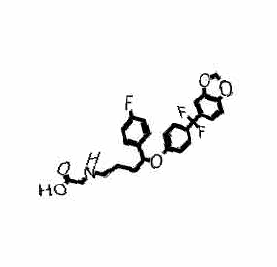 O=C(O)CNCCCC(Oc1ccc(C(F)(F)c2ccc3c(c2)OCO3)cc1)c1ccc(F)cc1